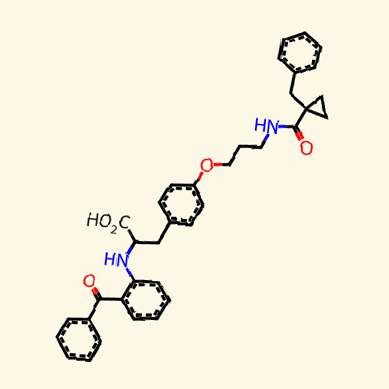 O=C(c1ccccc1)c1ccccc1NC(Cc1ccc(OCCCNC(=O)C2(Cc3ccccc3)CC2)cc1)C(=O)O